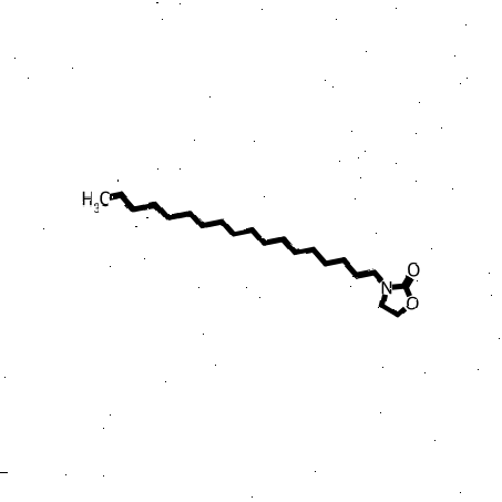 CCCCCCCCCCCCCCCCCCN1CCOC1=O